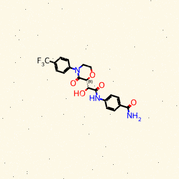 NC(=O)c1ccc(NC(=O)C(O)[C@H]2OCCN(c3ccc(C(F)(F)F)cc3)C2=O)cc1